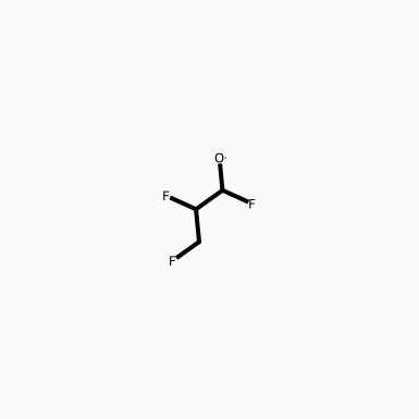 [O]C(F)C(F)CF